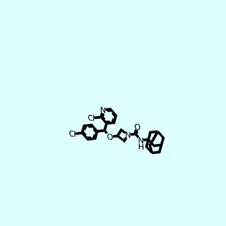 O=C(NC12CC3CC(CC(C3)C1)C2)N1CC(OC(c2ccc(Cl)cc2)c2cccnc2Cl)C1